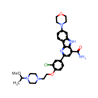 COC(C)N1CCN(CCOc2ccc(-c3cc(C(N)=O)c4[nH]c5cc(N6CCOCC6)ccc5c4n3)cc2Cl)CC1